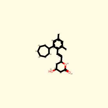 Cc1cc(C)c(/C=C/C2CC(O)CC(=O)O2)c(C2CCCCCC2)c1